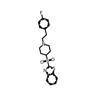 O=S(=O)(c1nc2ccccc2s1)C1CCN(CCc2ccc(F)cc2)CC1